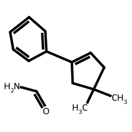 CC1(C)CC=C(c2ccccc2)C1.NC=O